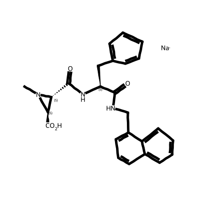 CN1[C@H](C(=O)O)[C@H]1C(=O)N[C@@H](Cc1ccccc1)C(=O)NCc1cccc2ccccc12.[Na]